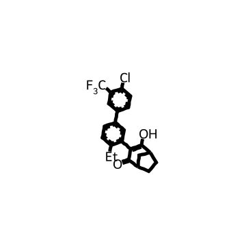 CCc1ccc(-c2ccc(Cl)c(C(F)(F)F)c2)cc1C1=C(O)C2CCC(C2)C1=O